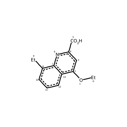 CCOc1cc(C(=O)O)nc2c(CC)cccc12